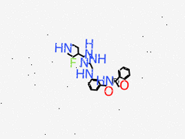 CN1C(CNc2cccc(C(=O)N[C@H]3COc4ccccc43)c2)NNC1C1CCNCC1F